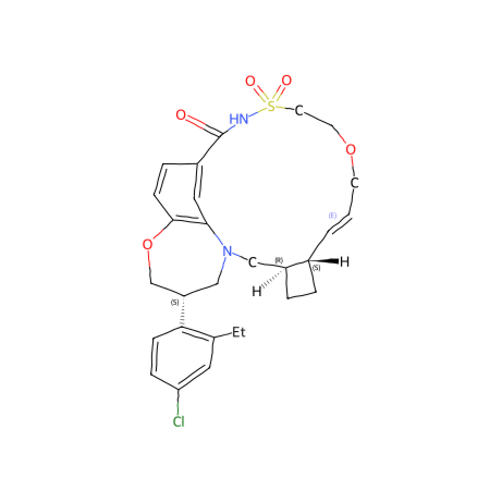 CCc1cc(Cl)ccc1[C@@H]1COc2ccc3cc2N(C1)C[C@@H]1CC[C@H]1/C=C/COCCS(=O)(=O)NC3=O